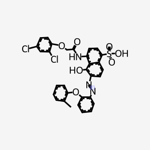 Cc1ccccc1Oc1ccccc1/N=N/c1ccc2c(S(=O)(=O)O)ccc(NC(=O)COc3ccc(Cl)cc3Cl)c2c1O